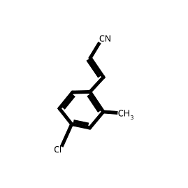 Cc1cc(Cl)ccc1C=CC#N